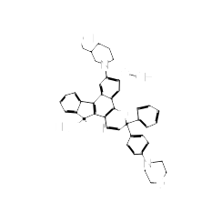 COc1cc2c3c(c4c(c2cc1N1CCCC(CO)C1)-c1ccccc1C4(C)C)C=CC(c1ccccc1)(c1ccc(N2CCOCC2)cc1)O3